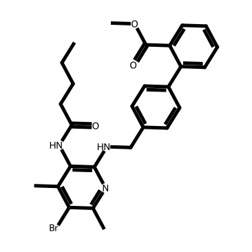 CCCCC(=O)Nc1c(NCc2ccc(-c3ccccc3C(=O)OC)cc2)nc(C)c(Br)c1C